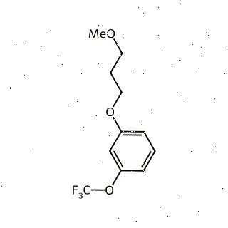 COCCCOc1cccc(OC(F)(F)F)c1